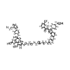 Cc1ncsc1-c1ccc(CNC(=O)[C@@H]2C[C@@H](O)CN2C(=O)[C@@H](NC(=O)COCCOCCOCCOCCN2CCN(Cc3ccc4c(c3)nc(NC(=O)c3cccc(C(F)(F)F)c3)n4[C@H]3CC[C@@H](CO)CC3)CC2)C(C)(C)C)cc1